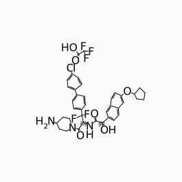 NC1CCN(C(=O)[C@H](NC(=O)[C@H](O)c2ccc3cc(OC4CCCC4)ccc3c2)C(F)(F)c2ccc(-c3ccc(Cl)cc3)cc2)CC1.O=C(O)C(F)(F)F